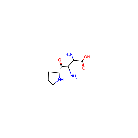 NC(C(=O)O)C(N)C(=O)[C@H]1CCCN1